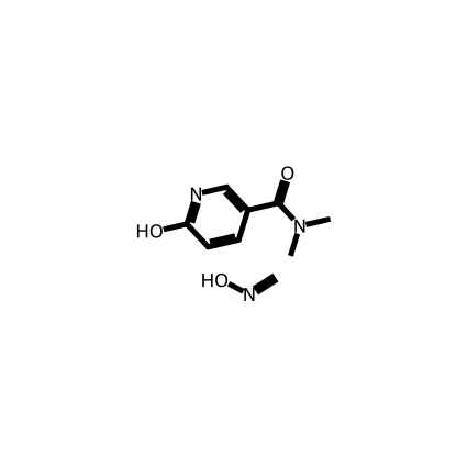 C=NO.CN(C)C(=O)c1ccc(O)nc1